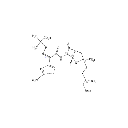 COC[C@@H](N)CS[C@]1(C(=O)O)CN2C(=O)[C@@H](NC(=O)/C(=N\OC(C)(C)C(=O)O)c3csc(N)n3)[C@H]2S1